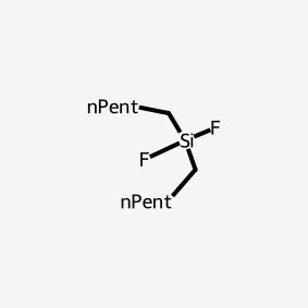 CCCCCC[Si](F)(F)CCCCCC